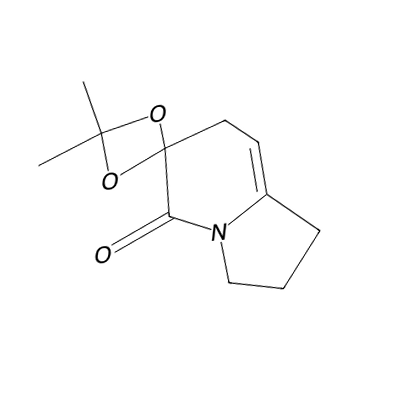 CC1(C)OC2(CC=C3CCCN3C2=O)O1